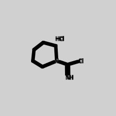 Cl.N=C(Cl)N1CCCCC1